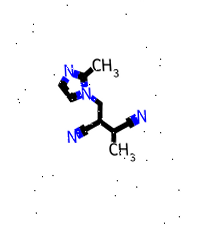 Cc1nccn1CC(C#N)C(C)C#N